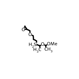 COC(C)OC(C)[SiH2]CCCOCC1CO1